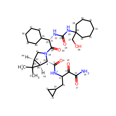 CC1(C)[C@@H]2[C@@H](C(=O)NC(CC3CC3)C(=O)C(N)=O)N(C(=O)[C@@H](NC(=O)NC3(CO)CCCCCC3)C3CCCCC3)C[C@@H]21